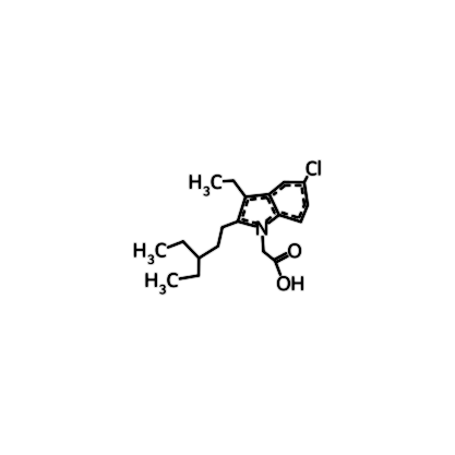 CCc1c(CCC(CC)CC)n(CC(=O)O)c2ccc(Cl)cc12